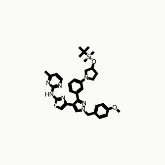 COc1ccc(Cn2cc(-c3csc(Nc4nccc(C)n4)n3)c(-c3cccc(N4CCC(O[Si](C)(C)C(C)(C)C)C4)c3)n2)cc1